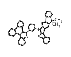 CC1(C)c2ccccc2-c2cc3c(cc21)c1c2ccccc2sc1n3-c1cccc(-c2nc3ccccc3c3c4ccccc4c4ccccc4c23)c1